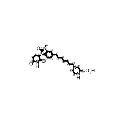 Cn1c(=O)n(C2CCC(=O)NC2=O)c2ccc(CCCCCCCN3CCN[C@H](C(=O)O)C3)cc21